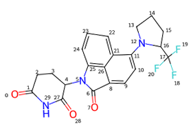 O=C1CCC(N2C(=O)c3ccc(N4CCCC4C(F)(F)F)c4cccc2c34)C(=O)N1